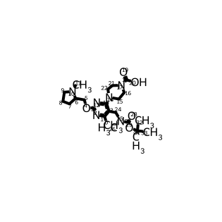 Cc1nc(OCC2CCCN2C)nc(N2CCN(C(=O)O)CC2)c1CN(C)C(=O)OC(C)(C)C